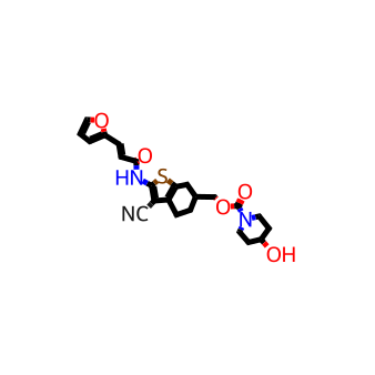 N#Cc1c(NC(=O)C=Cc2ccco2)sc2c1CCC(COC(=O)N1CCC(O)CC1)C2